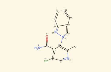 Cc1ncc(Cl)c(C(N)=O)c1-n1cc2ccccc2n1